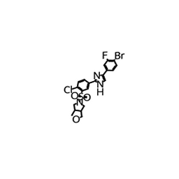 O=S(=O)(c1cc(-c2nc(-c3ccc(Br)c(F)c3)c[nH]2)ccc1Cl)N1CC2COCC2C1